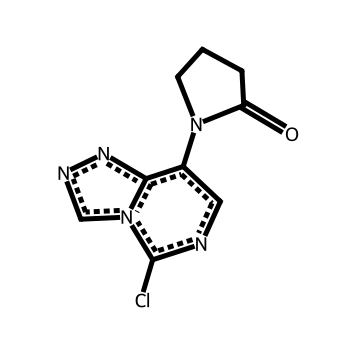 O=C1CCCN1c1cnc(Cl)n2cnnc12